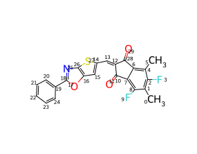 Cc1c(F)c(C)c2c(c1F)C(=O)/C(=C\c1cc3oc(-c4ccccc4)nc3s1)C2=O